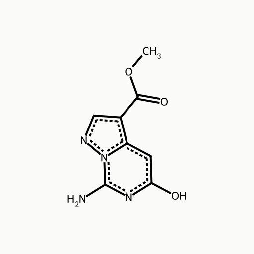 COC(=O)c1cnn2c(N)nc(O)cc12